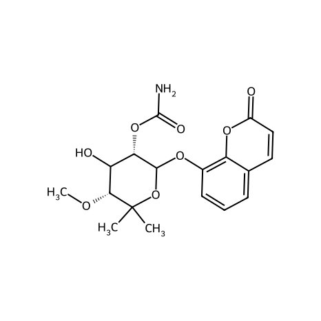 CO[C@@H]1C(O)[C@H](OC(N)=O)C(Oc2cccc3ccc(=O)oc23)OC1(C)C